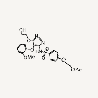 COc1ccccc1Oc1c(NS(=O)(=O)c2ccc(OCCOC(C)=O)cc2)ncnc1OCCO